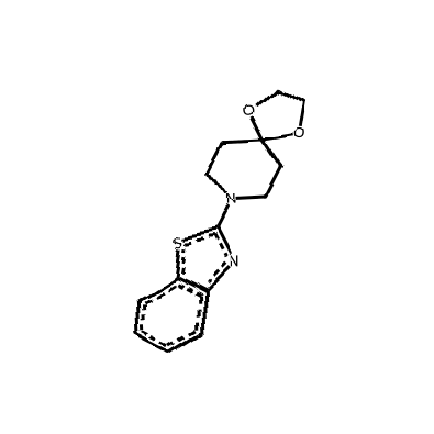 c1ccc2sc(N3CCC4(CC3)OCCO4)nc2c1